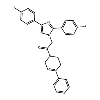 O=C(Cn1nc(-c2ccc(F)cc2)nc1-c1ccc(F)cc1)N1CC=C(c2ccccc2)CC1